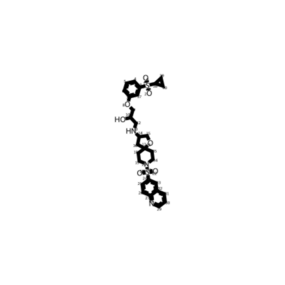 O=S(=O)(c1cccc(OCC(O)CNC2COC3(CCN(S(=O)(=O)c4ccc5ncccc5c4)CC3)C2)c1)C1CC1